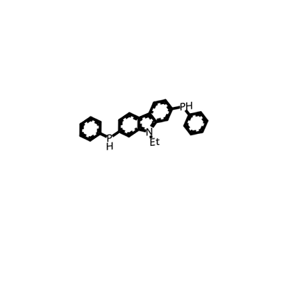 CCn1c2cc(Pc3ccccc3)ccc2c2ccc(Pc3ccccc3)cc21